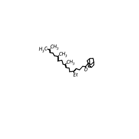 CC/C(=C\CCC(=O)C12CC3CC(CC(C3)C1)C2)CC/C=C(\C)CC/C=C(\C)CCC=C(C)C